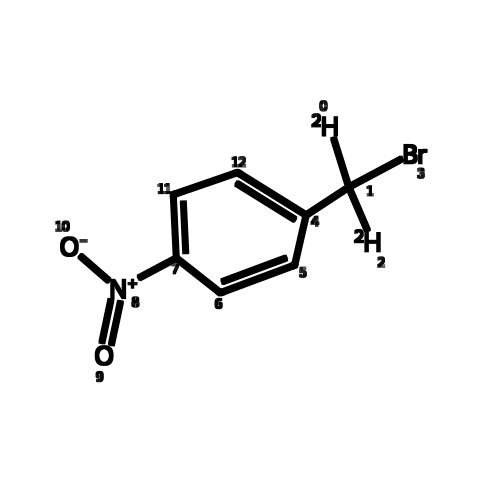 [2H]C([2H])(Br)c1ccc([N+](=O)[O-])cc1